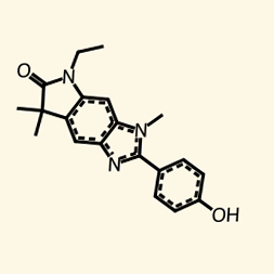 CCN1C(=O)C(C)(C)c2cc3nc(-c4ccc(O)cc4)n(C)c3cc21